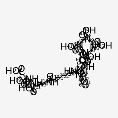 O=C(O)CC[C@H](NC(=O)N[C@@H](CCCCNC(=O)CCCCCCCNc1nc(Nc2ccc(CC3CN(CC(=O)O)CCN(CC(=O)O)CCN(CC(=O)O)CCN3CC(=O)O)cc2)nc(N2CCOCC2)n1)C(=O)O)C(=O)O